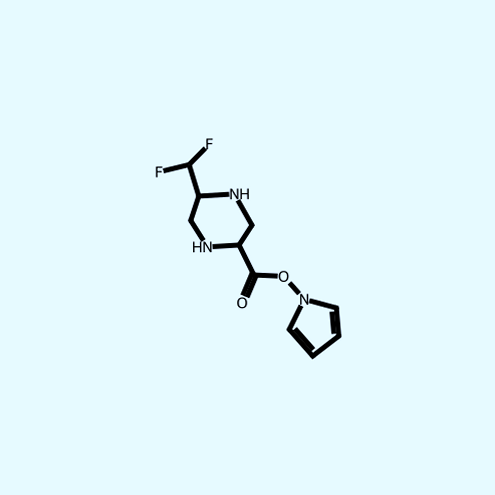 O=C(On1cccc1)C1CNC(C(F)F)CN1